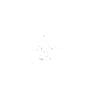 CCOC(=O)COC1CC(C(=O)N(c2cccc(F)c2)[C@H](C(=O)NC2CC(F)(F)C2)c2ccccc2Cl)N(C(=O)OC)C1